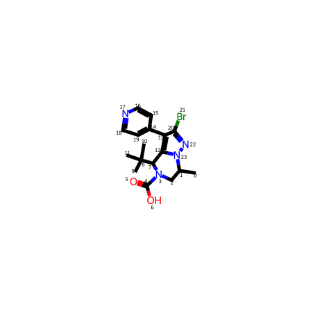 CC1CN(C(=O)O)C(C(C)(C)C)c2c(-c3ccncc3)c(Br)nn21